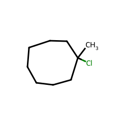 CC1(Cl)CCCCCCC1